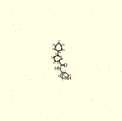 O=C(NC1CC2CC1CN2)c1ccc(-c2ccccc2)s1